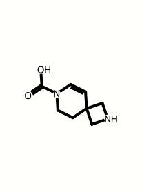 O=C(O)N1C=CC2(CC1)CNC2